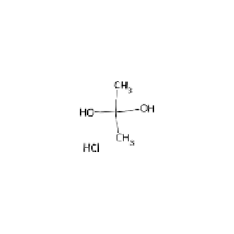 CC(C)(O)O.Cl